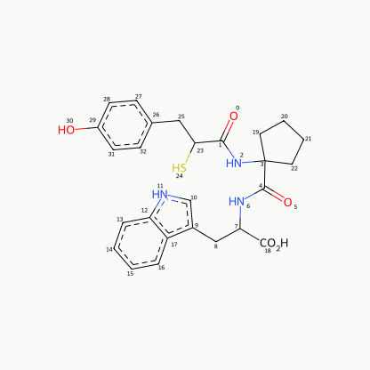 O=C(NC1(C(=O)NC(Cc2c[nH]c3ccccc23)C(=O)O)CCCC1)C(S)Cc1ccc(O)cc1